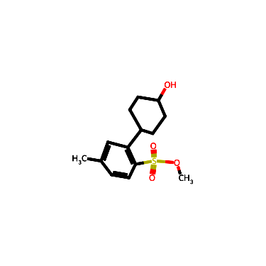 COS(=O)(=O)c1ccc(C)cc1C1CCC(O)CC1